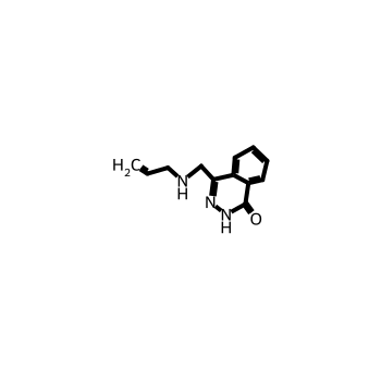 C=CCNCc1n[nH]c(=O)c2ccccc12